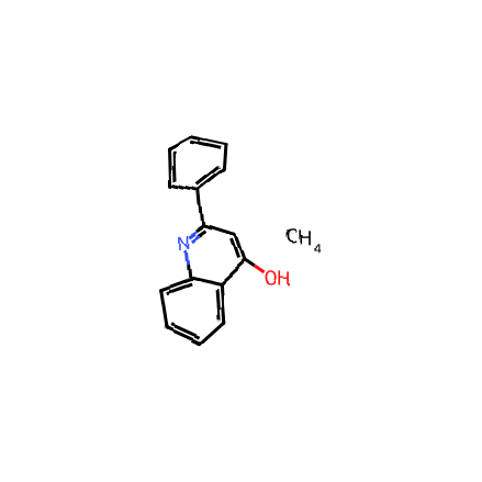 C.Oc1cc(-c2ccccc2)nc2ccccc12